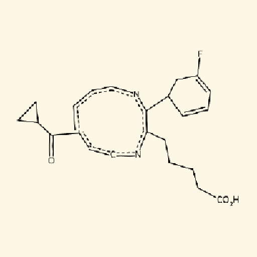 O=C(O)CCCCc1nccc(C(=O)C2CC2)cccnc1C1C=CC=C(F)C1